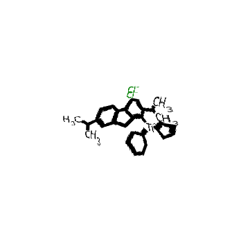 CC(C)c1ccc2c(c1)Cc1c-2ccc(C(C)C)[c]1[Ti+2]([C]1=CC=CC1)=[C]1CCCCC1.[Cl-].[Cl-]